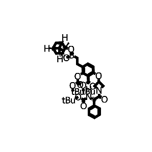 CC(C)(C)OC(=O)N[C@@H](C(=O)N1CC(Oc2ccc(CCB3O[C@@H]4C[C@@H]5C[C@@H](C5(C)C)[C@]4(C)O3)c(OC(=O)OC(C)(C)C)c2C(=O)OC(C)(C)C)C1)c1ccccc1